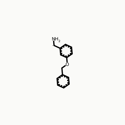 N[CH]c1cccc(OCc2ccccc2)c1